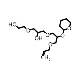 C=CCOCC(COCC(O)COCCO)OC1CCCCO1